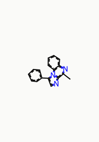 Cc1nc2ccccc2n2c(-c3ccccc3)cnc12